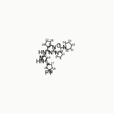 O=C([C@@H]1CCCN1c1nc2c(c(Nc3cc([C@@H]4CCC(F)(F)C4)[nH]n3)n1)CCC2)N1CCCCC1